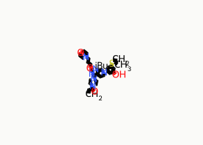 C=CC(=O)N1CCN(c2nc(OCCCN3CCOCC3)nc3c2CCN(c2cc(O)cc(SC(=C)C)c2C(C)CC)C3)CC1